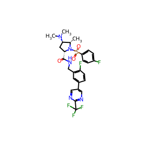 C[C@H]1[C@H](N(C)C)C[C@@H](C(=O)NCc2cc(-c3cnc(C(F)(F)F)nc3)ccc2F)N1S(=O)(=O)c1ccc(F)cc1